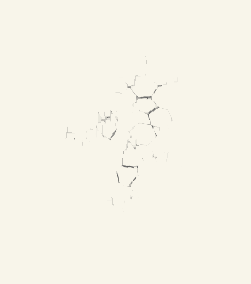 COc1ccc(CN2CCC3(C[C@H]2c2cn(C)nn2)OCCc2c3sc(C(F)(F)F)c2C(C)O)c(OC)c1